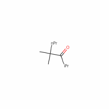 CCCC(C)(C)C(=O)C(C)C